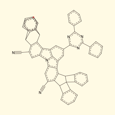 N#Cc1cc2c(c3c1C1c4ccccc4C3c3ccccc31)c1cc(-c3nc(-c4ccccc4)nc(-c4ccccc4)n3)cc3c4c5c(c(C#N)cc4n2c13)C1c2ccccc2C12c1ccccc1C52